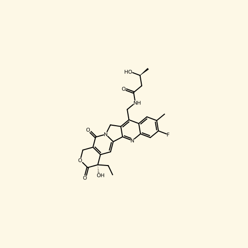 CC[C@@]1(O)C(=O)OCc2c1cc1n(c2=O)Cc2c-1nc1cc(F)c(C)cc1c2CNC(=O)C[C@H](C)O